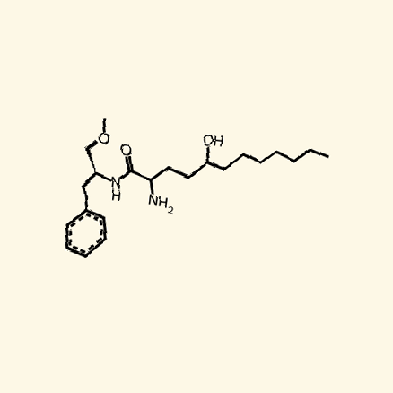 CCCCCCCC(O)CCC(N)C(=O)N[C@H](COC)Cc1ccccc1